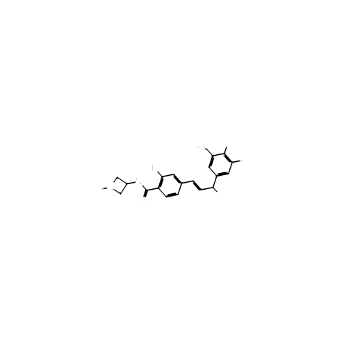 O=C(NC1C[S+]([O-])C1)c1ccc(/C=C/C(c2cc(Cl)c(F)c(Cl)c2)C(F)(F)F)cc1F